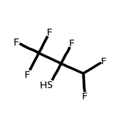 FC(F)C(F)(S)C(F)(F)F